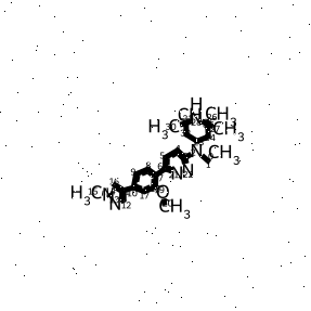 CCN(c1ccc(-c2ccc(-c3cnn(C)c3)cc2OC)nn1)C1CC(C)(C)NC(C)(C)C1